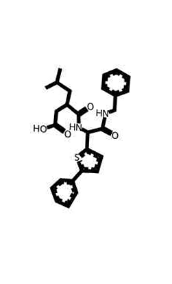 CC(C)CC(CC(=O)O)C(=O)NC(C(=O)NCc1ccccc1)c1ccc(-c2ccccc2)s1